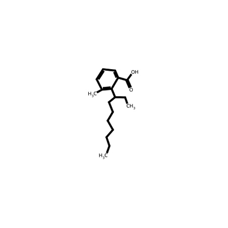 CCCCCCCC(CC)c1c(C)cccc1C(=O)O